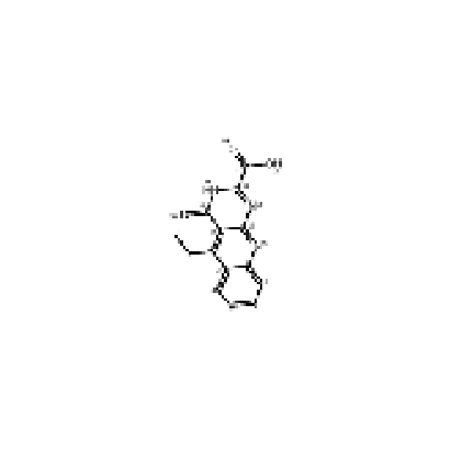 CCc1c2ccccc2nc2nc(C(=O)O)[nH]c(=O)c12